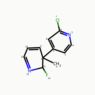 CC1(c2ccnc(Cl)c2)C=CC=NC1F